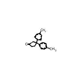 Cc1ccc(C2(c3ccc(C)cc3)CCC(=O)C2)cc1